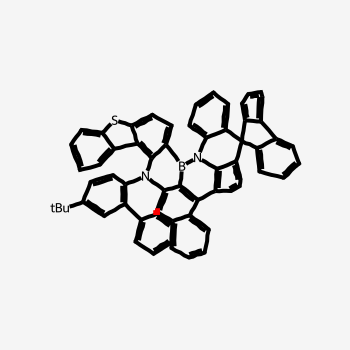 CC(C)(C)c1ccc(N2c3cc4ccccc4c4c3B(c3ccc5sc6ccccc6c5c32)N2c3ccccc3C3(c5ccccc5-c5ccccc53)c3cccc-4c32)c(-c2ccccc2)c1